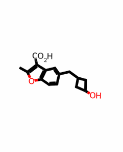 Cc1oc2ccc(CC3CC(O)C3)cc2c1C(=O)O